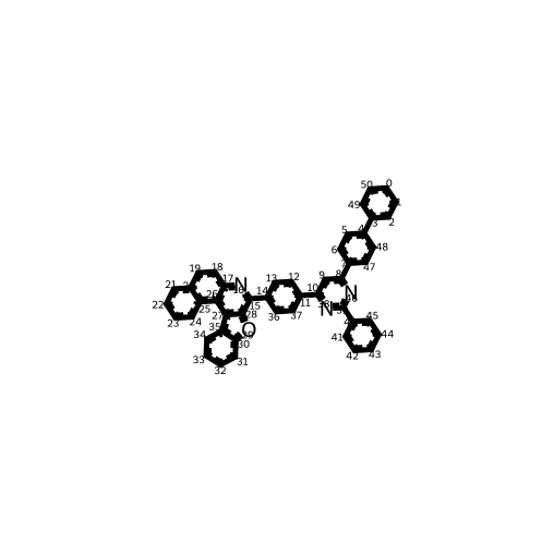 c1ccc(-c2ccc(-c3cc(-c4ccc(-c5nc6ccc7ccccc7c6c6c5oc5ccccc56)cc4)nc(-c4ccccc4)n3)cc2)cc1